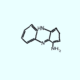 NC1=CCC=C2Nc3ccccc3N=C12